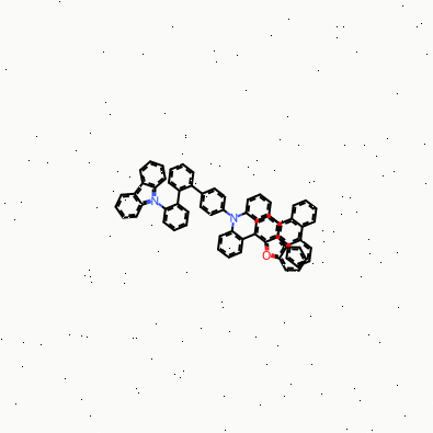 c1cc(-c2cc3ccccc3c3ccccc23)cc(N(c2ccc(-c3ccccc3-c3ccccc3-n3c4ccccc4c4ccccc43)cc2)c2ccccc2-c2cccc3c2oc2ccccc23)c1